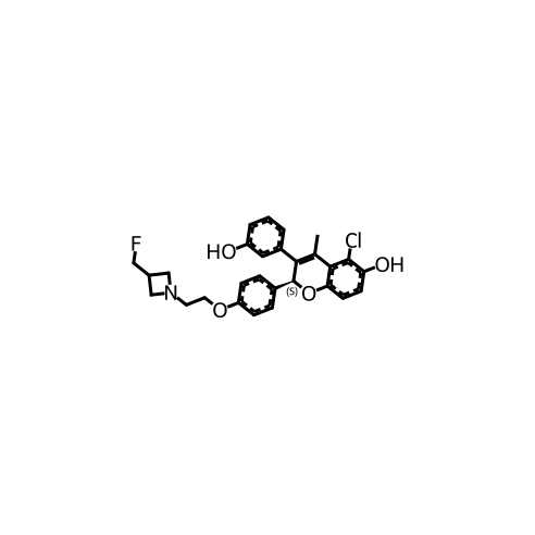 CC1=C(c2cccc(O)c2)[C@H](c2ccc(OCCN3CC(CF)C3)cc2)Oc2ccc(O)c(Cl)c21